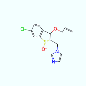 C=CCOC1c2ccc(Cl)cc2[S+]([O-])C1Cn1ccnc1